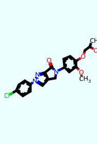 COc1cc(N2Cc3cn(-c4ccc(Cl)cc4)nc3C2=O)ccc1OCC(C)O